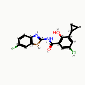 O=C(Nc1nc2ccc(F)cc2s1)c1cc(Cl)cc(C2CC2)c1O